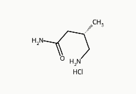 C[C@H](CN)CC(N)=O.Cl